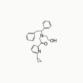 O=C(CN(CCO)C(Cc1ccccc1)c1ccccc1)c1cccc(C2CC2)n1